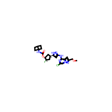 COCc1cc2c(Nc3cc([C@H]4C[C@@H](F)[C@@H](OC(=O)NC56CCC5CC6)C4)[nH]n3)nc(Cl)cn2n1